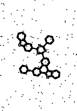 c1ccc(-c2ccc3c(c2)c2cc(-c4nc(-c5ccccc5)nc(-c5ccc6oc7ccccc7c6c5)n4)ccc2c2c3nc3ccccn32)cc1